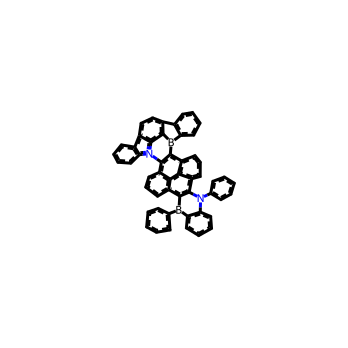 c1ccc(B2c3ccccc3N(c3ccccc3)c3c2c2cccc4c5c(c6cccc3c6c24)B2c3ccccc3-c3ccc4c6ccccc6n-5c4c32)cc1